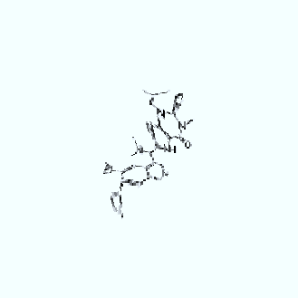 COc1cc2cncc(C(c3nc4c([nH]3)c(=O)n(C)c(=O)n4CC(C)C)N(C)C)c2cc1OC